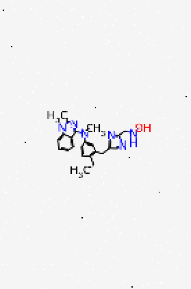 CCc1ccc(N(C)c2nc(C)nc3ccccc23)cc1Cc1cnc(CNO)nc1